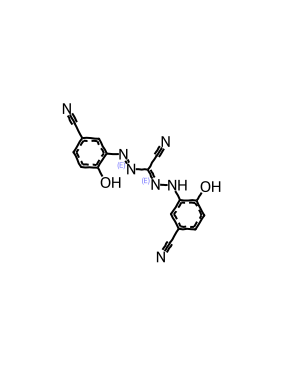 N#CC(/N=N/c1cc(C#N)ccc1O)=N\Nc1cc(C#N)ccc1O